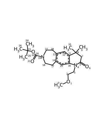 COCCN1C(=O)CC(C)(C)c2cc3c(cc21)CCN(C(=O)OC(C)(C)C)CC3